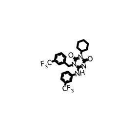 O=c1nc(Nc2cccc(C(F)(F)F)c2)n(Cc2cccc(C(F)(F)F)c2)c(=O)n1C1CCCCC1